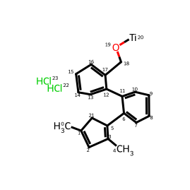 CC1=CC(C)=C(c2ccccc2-c2ccccc2C[O][Ti])C1.Cl.Cl